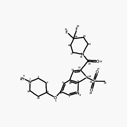 CC(C)N1CCC(Oc2cnc3c(c2)cc(C(=O)N2CCC(F)(F)CC2)n3S(C)(=O)=O)CC1